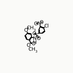 COC(=O)c1ccc(OC)cc1NS(=O)(=O)c1ccc(Cl)c([N+](=O)[O-])c1